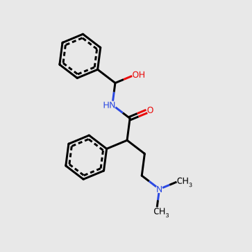 CN(C)CCC(C(=O)NC(O)c1ccccc1)c1ccccc1